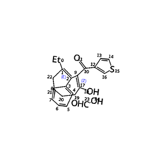 CC/C1=C(c2ccccc2)\C(C(=O)c2ccsc2)=C(\O)CCCC1.O=CO